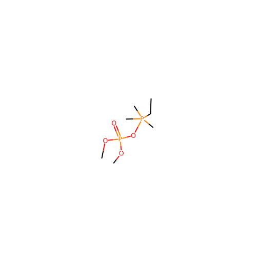 CCP(C)(C)(C)OP(=O)(OC)OC